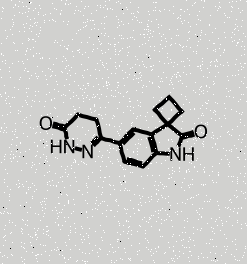 O=C1CCC(c2ccc3c(c2)C2(CCC2)C(=O)N3)=NN1